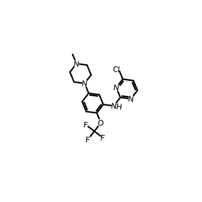 CN1CCN(c2ccc(OC(F)(F)F)c(Nc3nccc(Cl)n3)c2)CC1